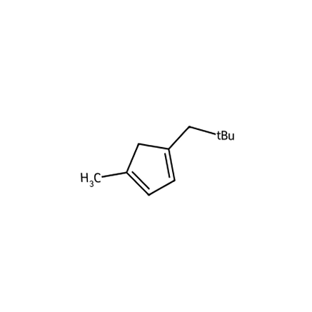 CC1=CC=C(CC(C)(C)C)C1